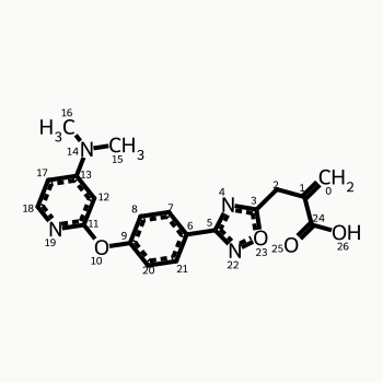 C=C(Cc1nc(-c2ccc(Oc3cc(N(C)C)ccn3)cc2)no1)C(=O)O